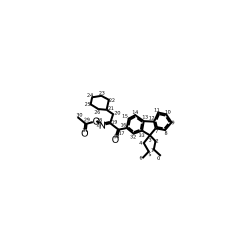 CCCC1(CCC)c2ccccc2-c2ccc(C(=O)/C(CC3CCCCC3)=N/OC(C)=O)cc21